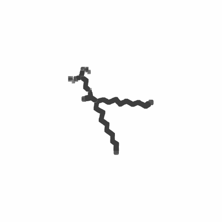 CN(C)CCSC(=O)N(CCCCCCCC=O)CCCCCCCC=O